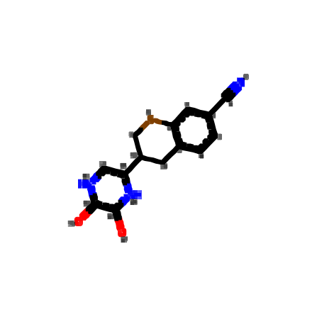 N#Cc1ccc2c(c1)SCC(c1c[nH]c(=O)c(=O)[nH]1)C2